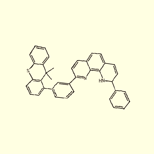 CC1(C)c2ccccc2Sc2cccc(-c3cccc(-c4ccc5ccc6c(c5n4)NC(c4ccccc4)C=C6)c3)c21